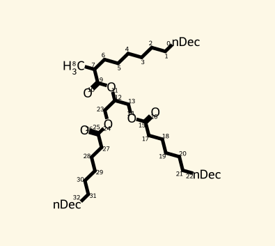 CCCCCCCCCCCCCCCCC(C)C(=O)OC(COC(=O)CCCCCCCCCCCCCCC)COC(=O)CCCCCCCCCCCCCCC